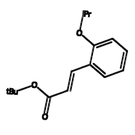 CC(C)Oc1ccccc1C=CC(=O)OC(C)(C)C